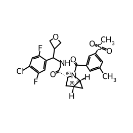 Cc1cc(C(=O)N2[C@@H](C(=O)NC(c3cc(F)c(Cl)cc3F)C3COC3)C[C@H]3C[C@H]32)cc(S(C)(=O)=O)c1